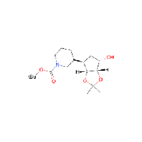 CC(C)(C)OC(=O)N1CCCC([C@H]2C[C@H](O)[C@@H]3OC(C)(C)O[C@@H]32)C1